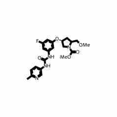 COCC1C[C@@H](Oc2cc(F)cc(NC(=O)Nc3ccc(C)nc3)c2)CN1C(=O)OC